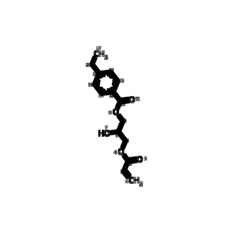 C=CC(=O)OCC(O)COC(=O)c1ccc(CC)cc1